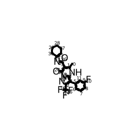 Cc1[nH]c2c(-c3cccc(F)c3)c(C(F)(F)F)nn2c(=O)c1-c1nc2c(o1)CCCC2